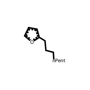 CCCCCCCCc1ccco1